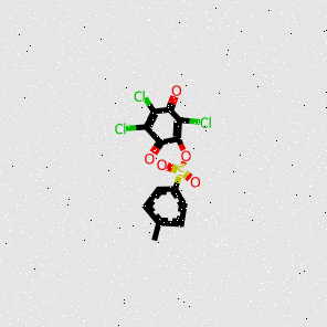 Cc1ccc(S(=O)(=O)OC2=C(Cl)C(=O)C(Cl)=C(Cl)C2=O)cc1